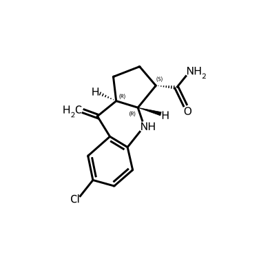 C=C1c2cc(Cl)ccc2N[C@@H]2[C@@H]1CC[C@@H]2C(N)=O